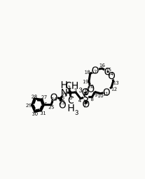 CC(C)(CCS(=O)(=O)CC1COCCOCCOCCO1)NC(=O)OCc1ccccc1